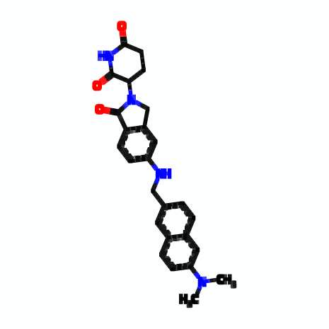 CN(C)c1ccc2cc(CNc3ccc4c(c3)CN(C3CCC(=O)NC3=O)C4=O)ccc2c1